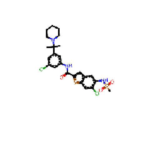 CC(C)(c1cc(Cl)cc(NC(=O)c2cc3cc(NS(C)(=O)=O)c(Cl)cc3s2)c1)N1CCCCC1